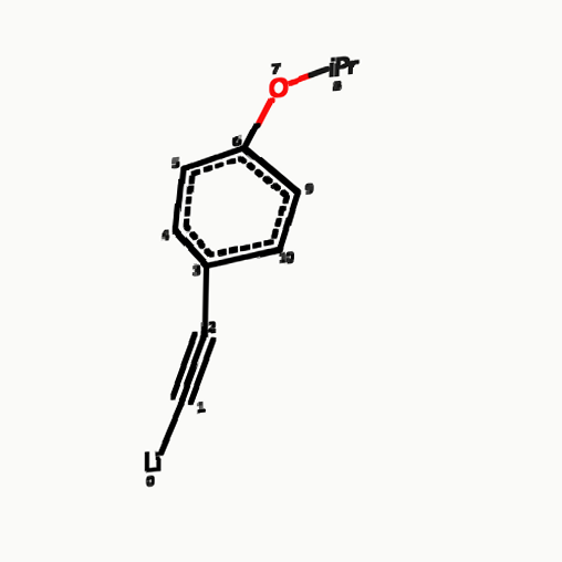 [Li][C]#Cc1ccc(OC(C)C)cc1